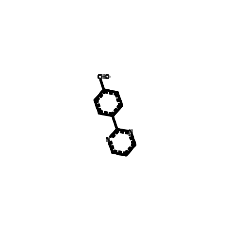 O=[C]c1ccc(-c2ncccn2)cc1